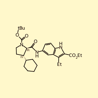 CCOC(=O)c1[nH]c2ccc(NC(=O)[C@H]3[C@H](C4CCCCC4)CCN3C(=O)OC(C)(C)C)cc2c1CC